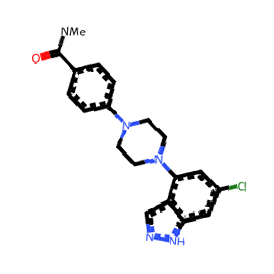 CNC(=O)c1ccc(N2CCN(c3cc(Cl)cc4[nH]ncc34)CC2)cc1